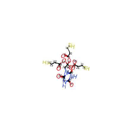 O=C(CCS)OC(Cn1c(=O)[nH]c(=O)[nH]c1=O)(OC(=O)CCS)OC(=O)CCS